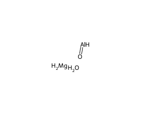 O.[MgH2].[O]=[AlH]